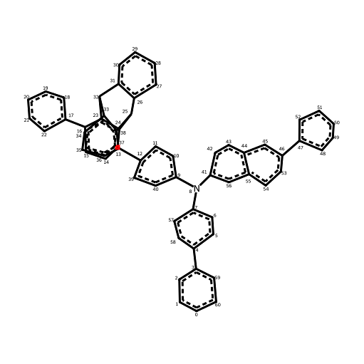 c1ccc(-c2ccc(N(c3ccc(-c4ccc(-c5ccccc5)c5c4C4c6ccccc6C5c5ccccc54)cc3)c3ccc4cc(-c5ccccc5)ccc4c3)cc2)cc1